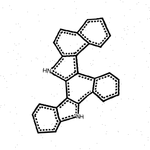 c1ccc2c(c1)ccc1[nH]c3c4c5ccccc5[nH]c4c4ccccc4c3c12